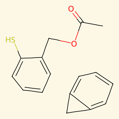 CC(=O)OCc1ccccc1S.c1ccc2c(c1)C2